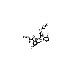 CCC(C)CNC(=O)c1cc(Cl)cc(C)c1NC(=O)c1cc(OC2CC(=S)C2)nn1-c1ncccc1Cl